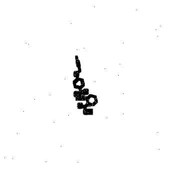 CC#CCOc1ccc(S(=O)(=O)N[C@@H]2CCCC[C@H]2C(=O)O)cc1